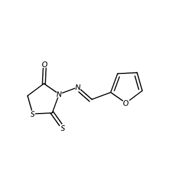 O=C1CSC(=S)N1N=Cc1ccco1